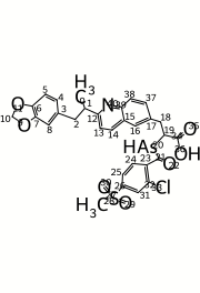 CC(Cc1ccc2c(c1)OCO2)c1ccc2cc(CC([AsH]C(=O)c3ccc(S(C)(=O)=O)cc3Cl)C(=O)O)ccc2n1